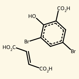 O=C(O)/C=C/C(=O)O.O=C(O)c1cc(Br)cc(Br)c1O